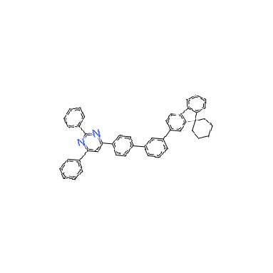 c1ccc(-c2cc(-c3ccc(-c4cccc(-c5ccc6c(c5)C5(CCCCC5)c5ccccc5-6)c4)cc3)nc(-c3ccccc3)n2)cc1